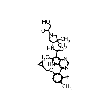 Cc1ccc(OCC2CC2)c(-c2ncnc3c(C(=O)NC4CN(C(=O)CO)CC4(C)C)c(C)[nH]c23)c1F